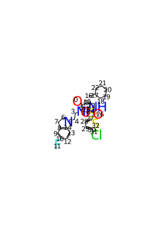 O=C(NCCN1CCc2cc(F)ccc21)[C@H](CC1CCCCC1)NS(=O)(=O)c1ccc(Cl)s1